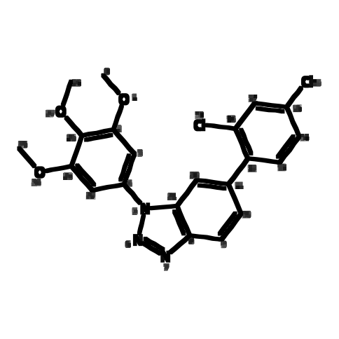 COc1cc(-n2nnc3ccc(-c4ccc(Cl)cc4Cl)cc32)cc(OC)c1OC